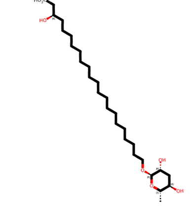 C[C@@H]1O[C@@H](OCCCCCCCCCCCCCCCCCCC[C@@H](O)CC(=O)O)[C@H](O)C[C@H]1O